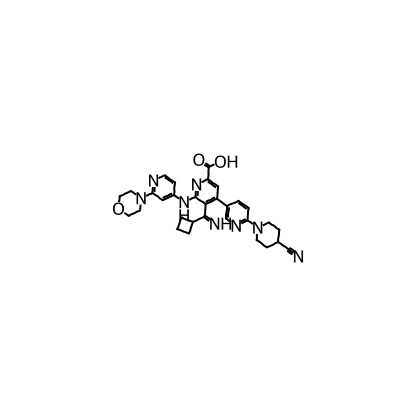 N#CC1CCN(c2ccc(-c3cc(C(=O)O)nc(Nc4ccnc(N5CCOCC5)c4)c3C(=N)C3CCC3)cn2)CC1